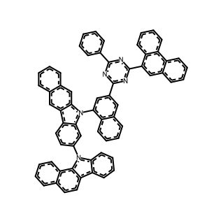 c1ccc(-c2nc(-c3cc(-n4c5cc(-n6c7ccccc7c7ccc8ccccc8c76)ccc5c5cc6ccccc6cc54)c4ccccc4c3)nc(-c3cc4ccccc4c4ccccc34)n2)cc1